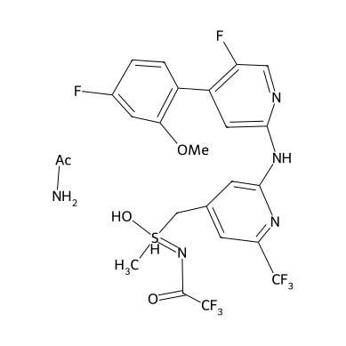 CC(N)=O.COc1cc(F)ccc1-c1cc(Nc2cc(C[SH](C)(O)=NC(=O)C(F)(F)F)cc(C(F)(F)F)n2)ncc1F